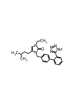 CCn1cc(CCC(C)C)n(Cc2ccc(-c3ccccc3-c3nnn[nH]3)cc2)c1=O